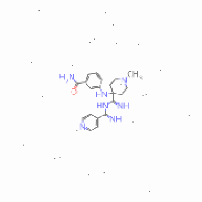 CN1CCC(Nc2cccc(C(N)=O)c2)(C(=N)NC(=N)c2ccncc2)CC1